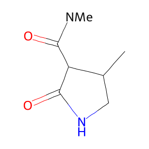 CNC(=O)C1C(=O)NCC1C